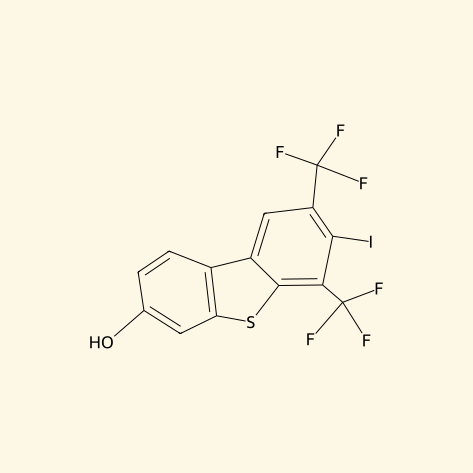 Oc1ccc2c(c1)sc1c(C(F)(F)F)c(I)c(C(F)(F)F)cc12